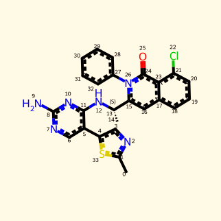 Cc1ncc(-c2cnc(N)nc2N[C@@H](C)c2cc3cccc(Cl)c3c(=O)n2-c2ccccc2)s1